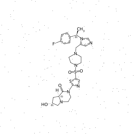 C[C@H](c1ccc(F)cc1)n1cncc1CN1CCN(S(=O)(=O)c2cnc(N3CCN4C[C@H](O)C[C@H]4C3=O)s2)CC1